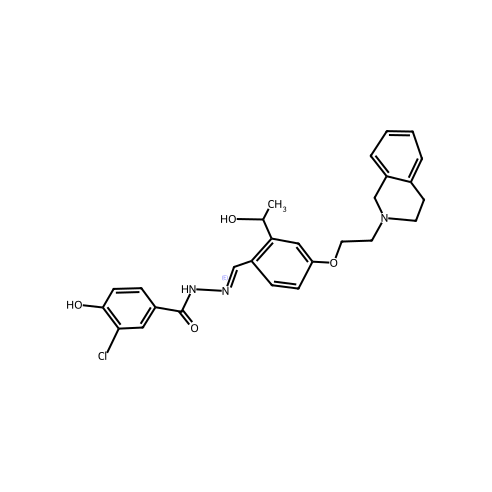 CC(O)c1cc(OCCN2CCc3ccccc3C2)ccc1/C=N/NC(=O)c1ccc(O)c(Cl)c1